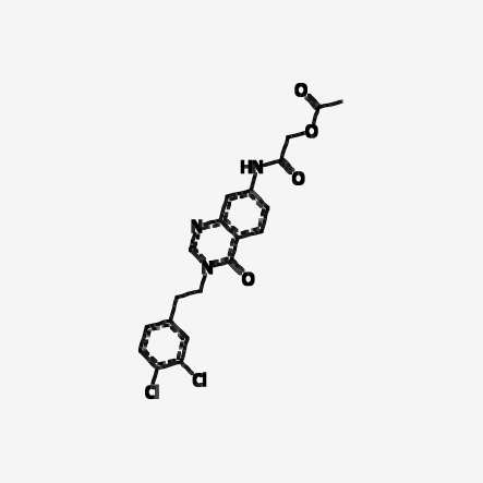 CC(=O)OCC(=O)Nc1ccc2c(=O)n(CCc3ccc(Cl)c(Cl)c3)cnc2c1